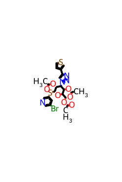 CC(=O)OCC1OC(Sc2cncc(Br)c2)C(OC(C)=O)C(n2cc(-c3ccsc3)nn2)C1OC(C)=O